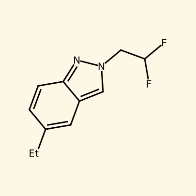 CCc1ccc2nn(CC(F)F)cc2c1